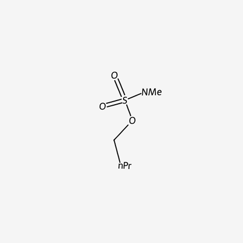 CCCCOS(=O)(=O)NC